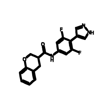 O=C(Nc1cc(F)c(-c2cn[nH]c2)c(F)c1)C1COc2ccccc2C1